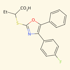 CCC(Sc1nc(-c2ccc(F)cc2)c(-c2ccccc2)o1)C(=O)O